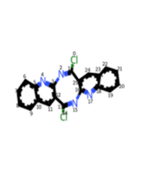 Cl/C1=N/c2nc3ccccc3cc2/C(Cl)=N\c2nc3ccccc3cc21